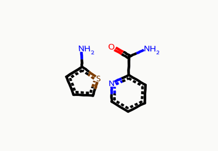 NC(=O)c1ccccn1.Nc1cccs1